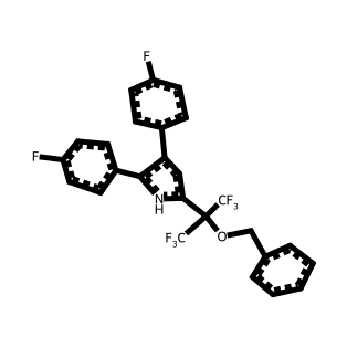 Fc1ccc(-c2cc(C(OCc3ccccc3)(C(F)(F)F)C(F)(F)F)[nH]c2-c2ccc(F)cc2)cc1